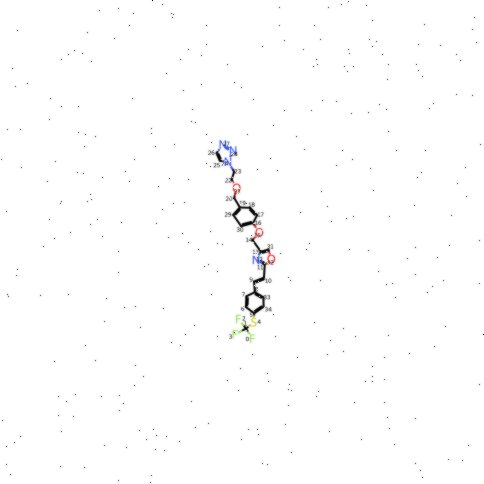 FC(F)(F)Sc1ccc(C=Cc2nc(COc3ccc(COCCn4ccnn4)cc3)co2)cc1